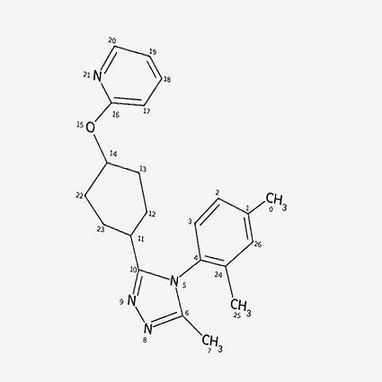 Cc1ccc(-n2c(C)nnc2C2CCC(Oc3ccccn3)CC2)c(C)c1